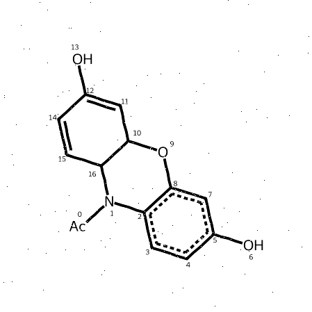 CC(=O)N1c2ccc(O)cc2OC2C=C(O)C=CC21